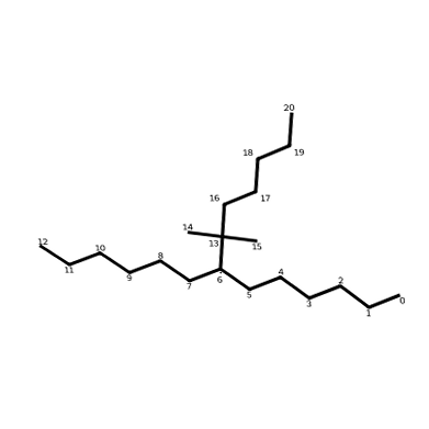 CCCCCC[C](CCCCCC)C(C)(C)CCCCC